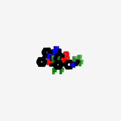 O=C(O)c1cnn(-c2cccc(-c3ccccc3OCc3ccc(C4CCN(CC(F)(F)F)CC4)c(F)c3F)n2)c1C(F)(F)F